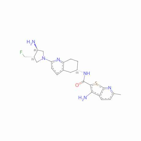 Cc1ccc2c(N)c(C(=O)N[C@H]3CCc4nc(N5C[C@H](CF)[C@@H](N)C5)ccc4C3)sc2n1